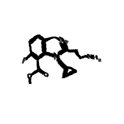 COC(=O)c1c(F)ccc2nc(CCN)n(C3CC3)c12